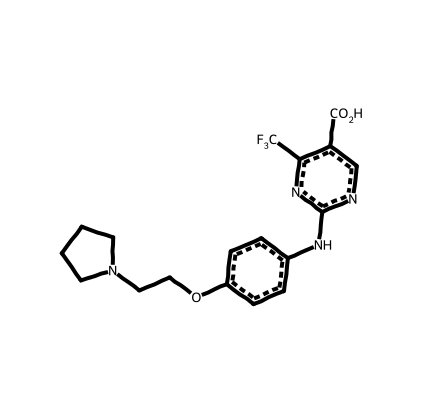 O=C(O)c1cnc(Nc2ccc(OCCN3CCCC3)cc2)nc1C(F)(F)F